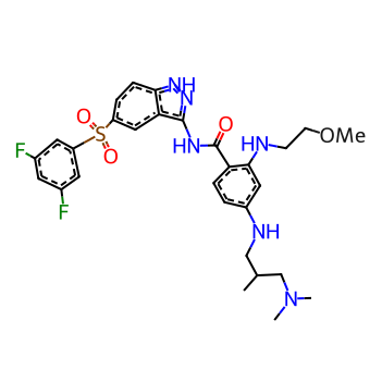 COCCNc1cc(NCC(C)CN(C)C)ccc1C(=O)Nc1n[nH]c2ccc(S(=O)(=O)c3cc(F)cc(F)c3)cc12